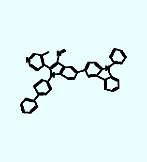 C=Nc1c(-c2ccncc2C)n(-c2ccc(-c3ccccc3)cc2)c2ccc(-c3ccc4c(c3)c3ccccc3n4-c3ccccc3)cc12